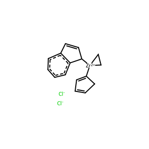 C1=CC[C]([Zr+2]2([CH]3C=Cc4ccccc43)[CH2][CH2]2)=C1.[Cl-].[Cl-]